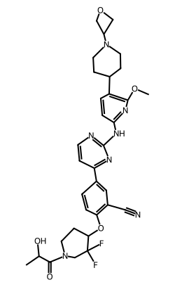 COc1nc(Nc2nccc(-c3ccc(OC4CCN(C(=O)C(C)O)CC4(F)F)c(C#N)c3)n2)ccc1C1CCN(C2COC2)CC1